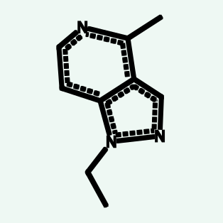 CCn1ncc2c(C)nccc21